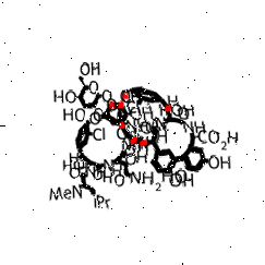 CN[C@H](CC(C)C)C(=O)N[C@H]1C(=O)N[C@@H](CC(N)=O)C(=O)N[C@H]2C(=O)N[C@H]3C(=O)N[C@H](C(=O)N[C@H](C(=O)O)c4cc(O)cc(O)c4-c4cc3ccc4O)[C@H](O)c3ccc(c(Cl)c3)Oc3cc2cc(c3O[C@@H]2O[C@H](CO)[C@@H](O)[C@H](O)[C@H]2O[C@H]2C[C@](C)(NC(C)=O)[C@H](O)[C@H](C)O2)Oc2ccc(cc2Cl)[C@H]1O